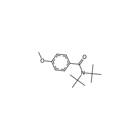 COc1ccc(C(=O)N(C(C)(C)C)C(C)(C)C)cc1